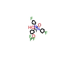 CC1N(c2ccc(F)cc2)C(=O)N(c2ccc(F)cc2)C1(O)c1cccc(OC(F)(F)F)c1